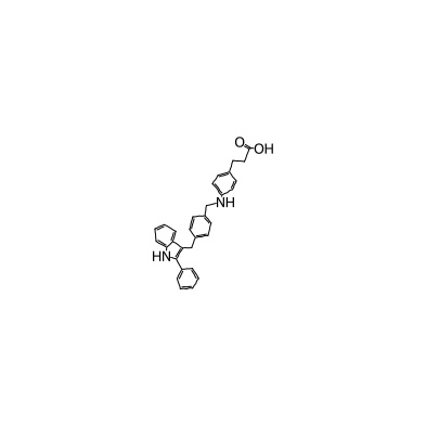 O=C(O)CCc1ccc(NCc2ccc(Cc3c(-c4ccccc4)[nH]c4ccccc34)cc2)cc1